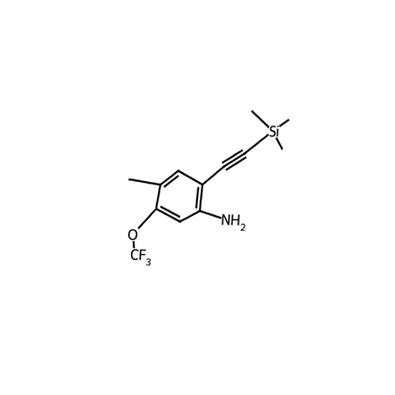 Cc1cc(C#C[Si](C)(C)C)c(N)cc1OC(F)(F)F